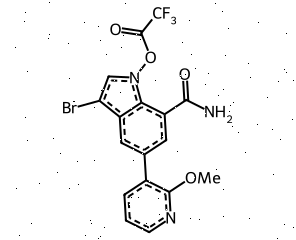 COc1ncccc1-c1cc(C(N)=O)c2c(c1)c(Br)cn2OC(=O)C(F)(F)F